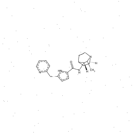 C[C@H]1[C@H](NC(=O)c2ccc(Cc3ccccn3)[nH]2)C2CCN1CC2